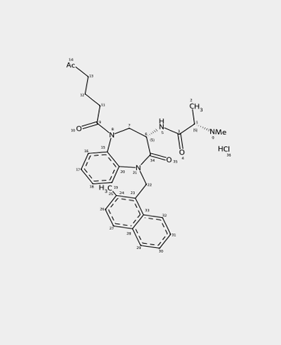 CN[C@@H](C)C(=O)N[C@H]1CN(C(=O)CCCC(C)=O)c2ccccc2N(Cc2c(C)ccc3ccccc23)C1=O.Cl